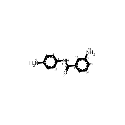 Nc1ccc(NC(=O)c2cccc(N)c2)cc1